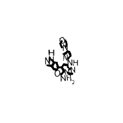 NC(=O)c1c(-c2ccc3cn[nH]c3c2)cc(Nc2ccc(N3CCOCC3)cn2)c2nccn12